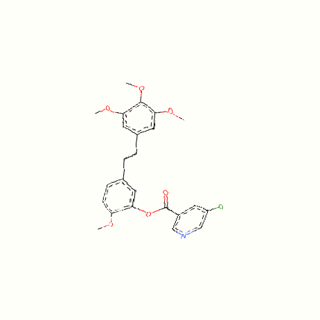 COc1ccc(CCc2cc(OC)c(OC)c(OC)c2)cc1OC(=O)c1cncc(Cl)c1